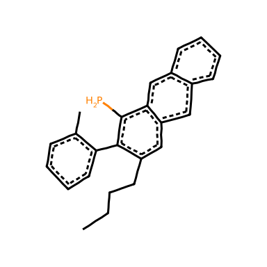 CCCCc1cc2cc3ccccc3cc2c(P)c1-c1ccccc1C